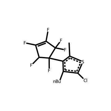 CCCCc1c(Cl)sc(C)c1C1(F)C(F)C(F)=C(F)C1(F)F